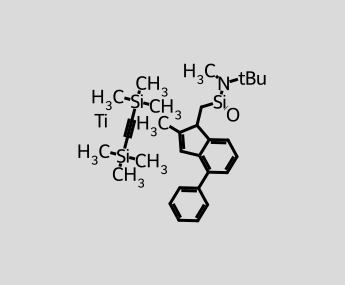 CC1=Cc2c(-c3ccccc3)cccc2C1C[Si](=O)N(C)C(C)(C)C.C[Si](C)(C)C#C[Si](C)(C)C.[Ti]